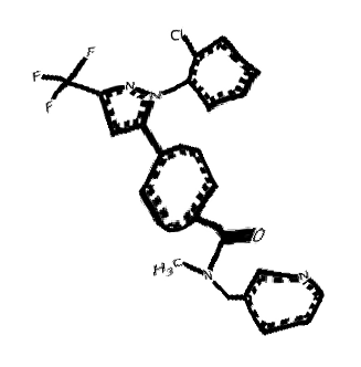 CN(Cc1cccnc1)C(=O)c1ccc(-c2cc(C(F)(F)F)nn2-c2ccccc2Cl)cc1